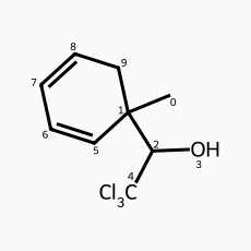 CC1(C(O)C(Cl)(Cl)Cl)C=CC=CC1